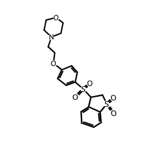 O=S1(=O)CC(S(=O)(=O)c2ccc(OCCN3CCOCC3)cc2)c2ccccc21